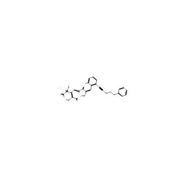 CC[C@@]1(O)C(=O)OCc2c1cc1n(c2=O)Cc2cc3c(C#CCCCc4ccccc4)cccc3nc2-1